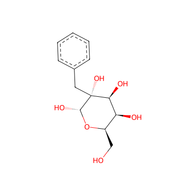 OC[C@H]1O[C@H](O)[C@@](O)(Cc2ccccc2)[C@@H](O)[C@H]1O